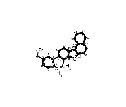 Cc1c(-c2cc(CC(C)C)cc[n+]2C)ccc2c1oc1ccc3ccccc3c12